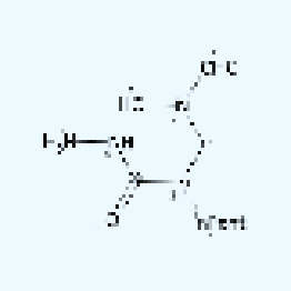 CCCCC[C@@H](CN(O)C=O)C(=O)NN